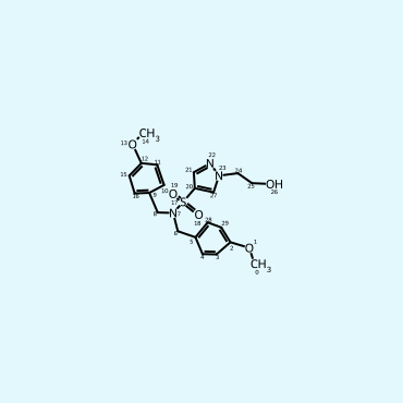 COc1ccc(CN(Cc2ccc(OC)cc2)S(=O)(=O)c2cnn(CCO)c2)cc1